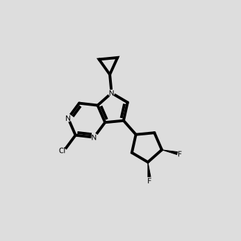 F[C@@H]1CC(c2cn(C3CC3)c3cnc(Cl)nc23)C[C@@H]1F